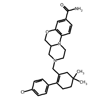 CC1(C)CCC(c2ccc(Cl)cc2)=C(CN2CCN3c4ccc(C(N)=O)cc4OCC3C2)C1